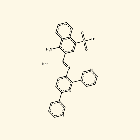 Nc1c(N=Nc2ccc(-c3cccnc3)nc2-c2cccnc2)cc(S(=O)(=O)[O-])c2ccccc12.[Na+]